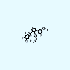 Cc1cc(F)cc(-c2cncc(-c3nc4cc(Cl)c(F)cc4[nH]3)c2N2CC(CN)C2)c1